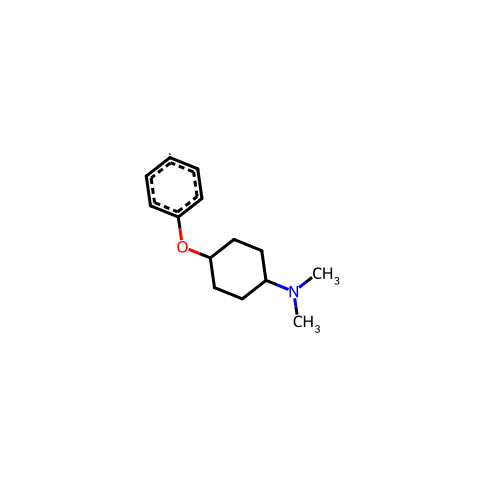 CN(C)C1CCC(Oc2cc[c]cc2)CC1